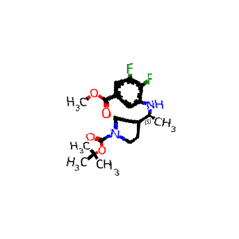 COC(=O)c1cc(F)c(F)c(N[C@@H](C)C2CCN(C(=O)OC(C)(C)C)CC2)c1